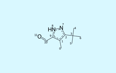 Cc1c(C(C)(C)C)n[nH]c1[C]=O